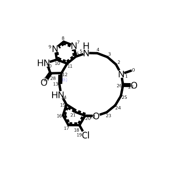 CN1CCCNc2ncnc3c2/C(=C\Nc2ccc(Cl)c(c2)OCCCC1=O)C(=O)N3